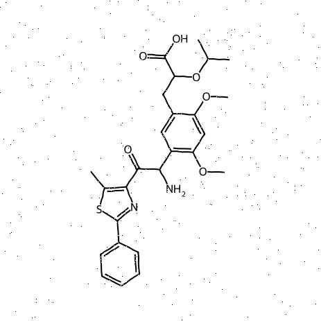 COc1cc(OC)c(C(N)C(=O)c2nc(-c3ccccc3)sc2C)cc1CC(OC(C)C)C(=O)O